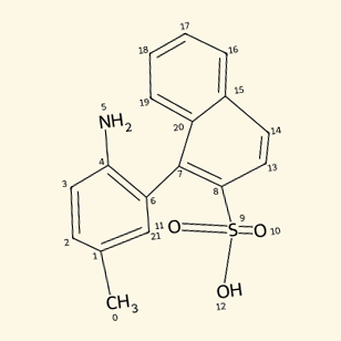 Cc1ccc(N)c(-c2c(S(=O)(=O)O)ccc3ccccc23)c1